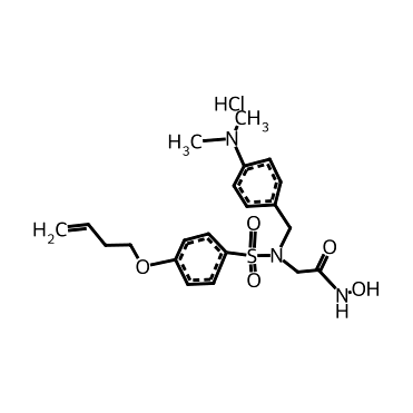 C=CCCOc1ccc(S(=O)(=O)N(CC(=O)NO)Cc2ccc(N(C)C)cc2)cc1.Cl